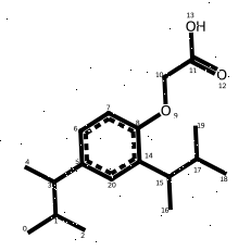 CC(C)C(C)c1ccc(OCC(=O)O)c(C(C)C(C)C)c1